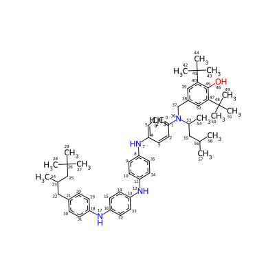 C=C(/C=C\C(=C/C)Nc1ccc(Nc2ccc(Nc3ccc(CC(C)CC(C)(C)C)cc3)cc2)cc1)N(Cc1cc(C(C)(C)C)c(O)c(C(C)(C)C)c1)C(C)CC(C)C